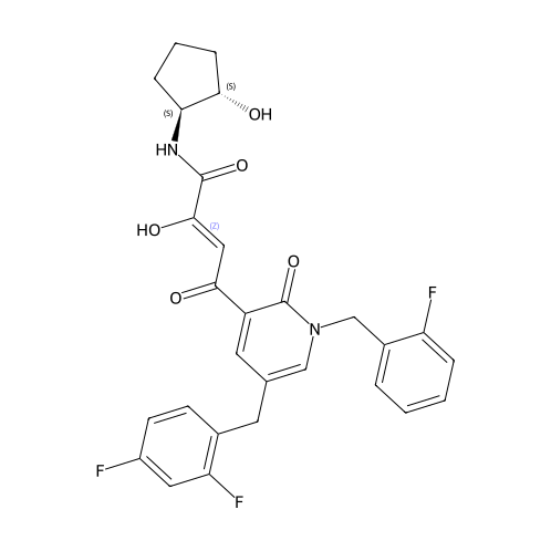 O=C(N[C@H]1CCC[C@@H]1O)/C(O)=C/C(=O)c1cc(Cc2ccc(F)cc2F)cn(Cc2ccccc2F)c1=O